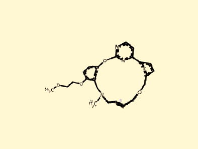 COCCOc1ccc2cc1CN(C)C/C=C/COCc1ccc(s1)-c1ccnc(n1)O2